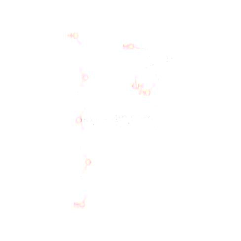 C=C(C)C(=O)O.C=C(C)C(=O)O.CCC(CO)(CO)CO.OCCOCCOCCOCCO